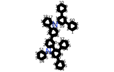 c1ccc(-c2cc(-c3ccccc3)cc(-n3c4ccccc4c4cc(-c5ccc6c(c5)c5c(-c7ccccc7)cc(-c7ccccc7)cc5n6-c5ccccc5)ccc43)c2)cc1